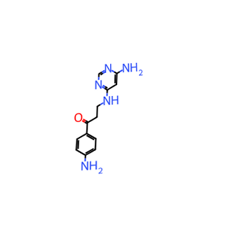 Nc1ccc(C(=O)CCNc2cc(N)ncn2)cc1